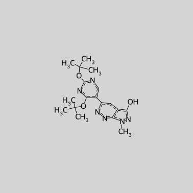 Cn1nc(O)c2cc(-c3cnc(OC(C)(C)C)nc3OC(C)(C)C)nnc21